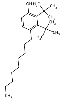 CCCCCCCCCc1ccc(O)c(C(C)(C)C)c1C(C)(C)C